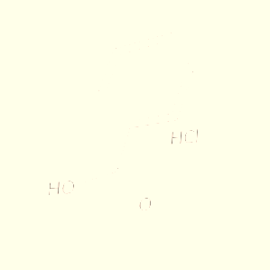 Cl.O=C(O)c1ccccc1